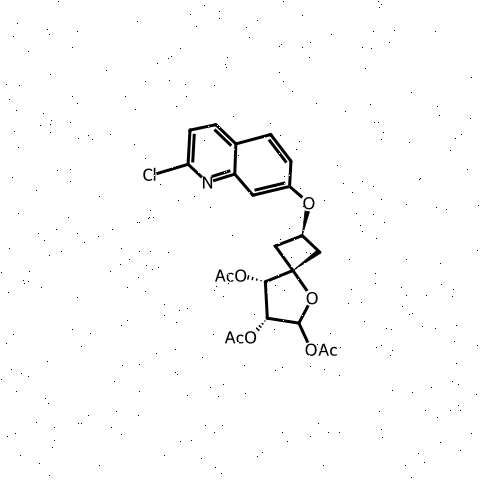 CC(=O)OC1O[C@]2(C[C@H](Oc3ccc4ccc(Cl)nc4c3)C2)[C@@H](OC(C)=O)[C@H]1OC(C)=O